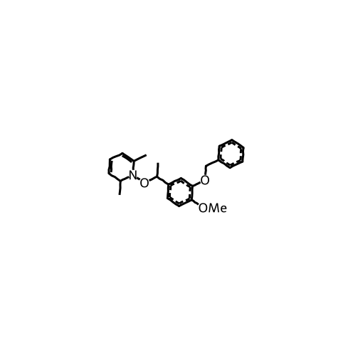 COc1ccc(C(C)ON2C(C)=CC=CC2C)cc1OCc1ccccc1